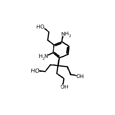 Nc1ccc(C(CCO)(CCO)CCO)c(N)c1CCO